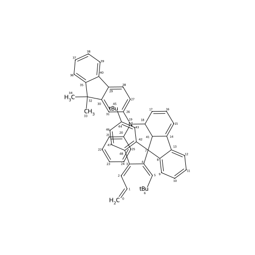 C=C/C=C1\C(=C/C(C)(C)C)C2(c3ccccc3C3=CC=CC(N(c4ccccc4)c4ccc5c(c4)C(C)(C)c4ccccc4-5)C32)c2cc(C(C)(C)C)ccc21